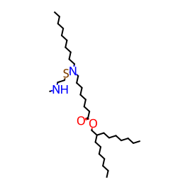 CCCCCCCCCCN(CCCCCCCC(=O)OCC(CCCCCCC)CCCCCCC)SCCNC